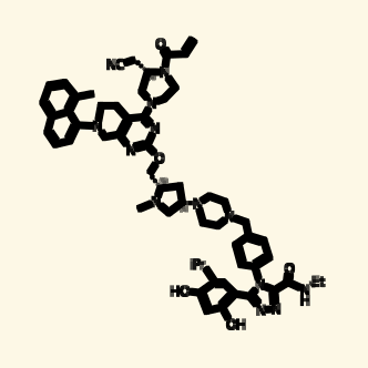 C=CC(=O)N1CCN(c2nc(OC[C@@H]3C[C@H](N4CCN(Cc5ccc(-n6c(C(=O)NCC)nnc6-c6cc(C(C)C)c(O)cc6O)cc5)CC4)CN3C)nc3c2CCN(c2cccc4cccc(C)c24)C3)C[C@@H]1CC#N